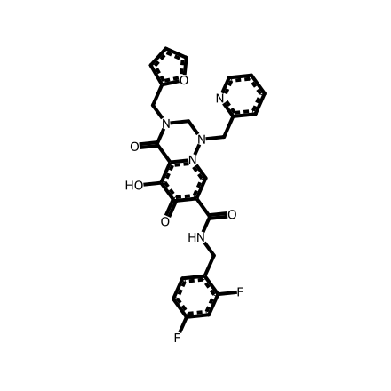 O=C(NCc1ccc(F)cc1F)c1cn2c(c(O)c1=O)C(=O)N(Cc1ccco1)CN2Cc1ccccn1